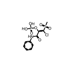 CS(=O)(=O)C(Cl)=C(OP(=O)(O)O)C(=O)Nc1ccccc1